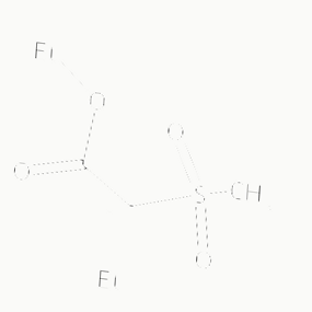 CCOC(=O)[C@@H](CC)S(C)(=O)=O